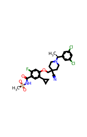 C[C@@H](c1cc(Cl)cc(Cl)c1)N1CCC(C#N)(COc2cc(F)c(C(=O)NS(C)(=O)=O)cc2C2CC2)CC1